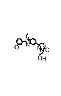 CCn1c(-c2cccc(OC)c2)nc2cc(C3=NN(CCO)C(=O)SC3)ccc21